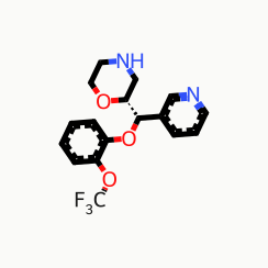 FC(F)(F)Oc1ccccc1OC(c1cccnc1)[C@H]1CNCCO1